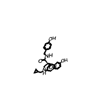 O=C(NCc1ccc(O)cc1)[C@H]1C[C@]23CCN(CC4CC4)[C@H](Cc4ccc(O)cc42)[C@]3(O)C1